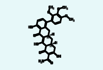 COc1ccc(-c2ccc(O)c3c2C[C@H]2C[C@H]4CC(O)=C(C(N)=O)C(=O)C4C(O)=C2C3=O)c(OC)c1OC